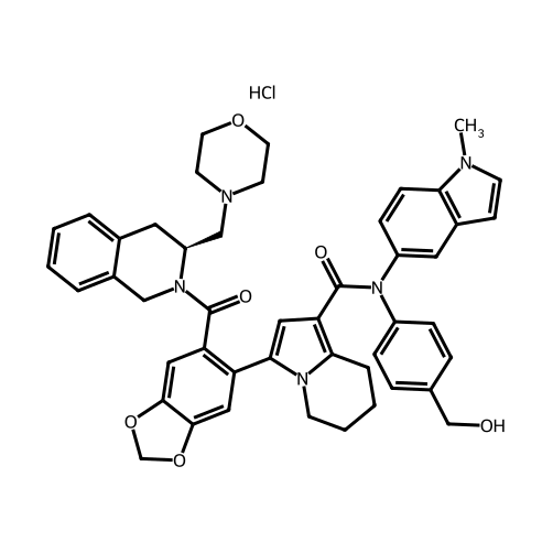 Cl.Cn1ccc2cc(N(C(=O)c3cc(-c4cc5c(cc4C(=O)N4Cc6ccccc6C[C@H]4CN4CCOCC4)OCO5)n4c3CCCC4)c3ccc(CO)cc3)ccc21